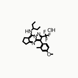 CCC(CC)Nc1c2c(nc3c(-c4ccc(OC)cc4C)c(C(F)(F)F)nn13)CCC2.Cl